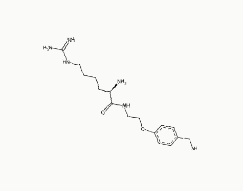 N=C(N)NCCCC[C@@H](N)C(=O)NCCOc1ccc(CS)cc1